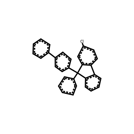 Clc1ccc2c(c1)C(c1ccccc1)(c1ccc(-c3ccccc3)cc1)c1ccccc1-2